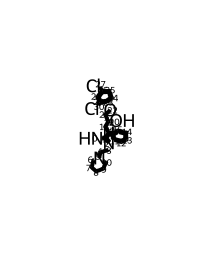 N=c1n(CCN2CCCCC2)c2ccccc2n1CC(O)COc1ccc(Cl)cc1Cl